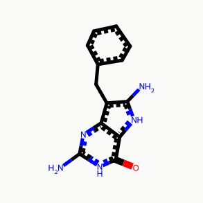 Nc1nc2c(Cc3ccccc3)c(N)[nH]c2c(=O)[nH]1